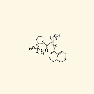 C[C@H](Nc1cccc2ccccc12)C(=O)N1CCC[C@@H]1P(=O)(O)O.Cl